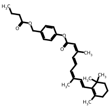 CCCC(=O)OCc1ccc(OC(=O)C=C(C)C=CC=C(C)C=CC2=C(C)CCCC2(C)C)cc1